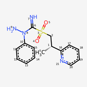 C[C@H](CS(=O)(=O)C(=N)N(N)c1ccccc1)c1ccccn1